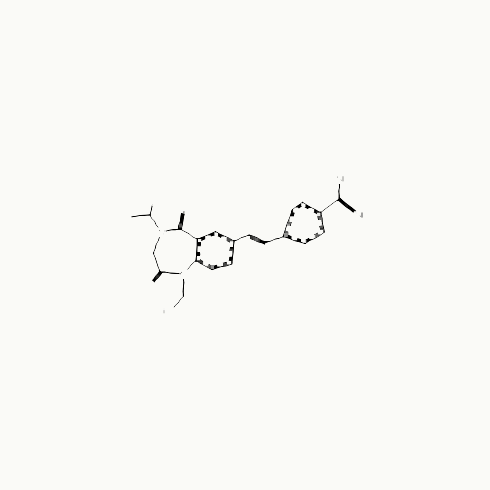 CCC(C(=O)O)N1CC(=O)N(CC(C)C)c2ccc(C=Cc3ccc(C(=N)N)cc3)cc2C1=O